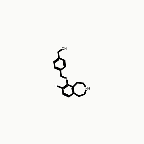 OCc1ccc(CSc2c(Cl)ccc3c2CCNCC3)cc1